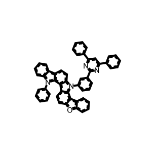 c1ccc(-c2cc(-c3ccccc3)nc(-c3cccc(-n4c5ccc6c7ccccc7n(-c7ccccc7)c6c5c5ccc6oc7ccccc7c6c54)c3)n2)cc1